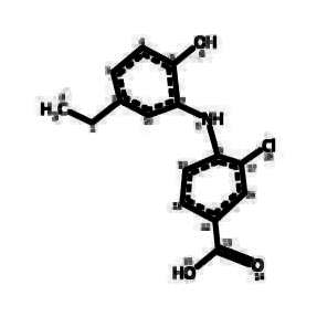 CCc1ccc(O)c(Nc2ccc(C(=O)O)cc2Cl)c1